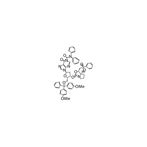 COc1ccc(C(OC[C@H]2O[C@@H](n3cnc4c(=O)n(C(=O)N(c5ccccc5)c5ccccc5)cnc43)C[C@@H]2O[P@@]2O[C@@H](CS(=O)(=O)c3ccccc3)[C@H]3CCCN32)(c2ccccc2)c2ccc(OC)cc2)cc1